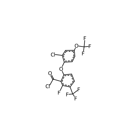 O=C(Cl)c1c(Oc2ccc(OC(F)(F)F)cc2Cl)ccc(C(F)(F)F)c1F